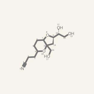 N#CCCC1CCC2O[C@@H]([C@H](O)CO)CC2(CO)O1